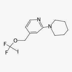 FC(F)(I)OCc1ccnc(N2CCCCC2)c1